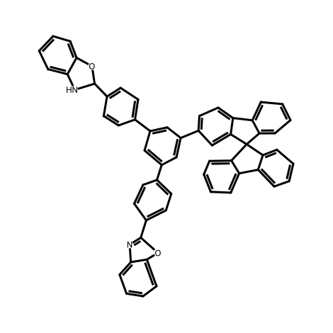 c1ccc2c(c1)NC(c1ccc(-c3cc(-c4ccc(-c5nc6ccccc6o5)cc4)cc(-c4ccc5c(c4)C4(c6ccccc6-c6ccccc64)c4ccccc4-5)c3)cc1)O2